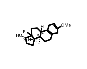 CCC12CC[C@@H]3C4=C(CC[C@H]3[C@@H]1CC[C@@H]2O)CC(OC)=CC4